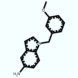 COc1cccc(Cn2ccc3cc(N)ccc32)c1